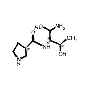 C[C@@H](O)[C@H](NC(=O)[C@@H]1CCNC1)C(N)O